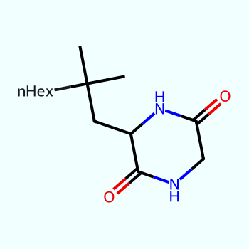 CCCCCCC(C)(C)CC1NC(=O)CNC1=O